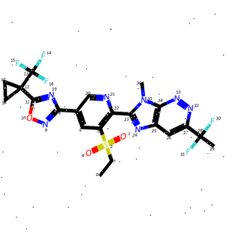 CCS(=O)(=O)c1cc(-c2noc(C3(C(F)(F)F)CC3)n2)cnc1-c1nc2cc(C(C)(F)F)nnc2n1C